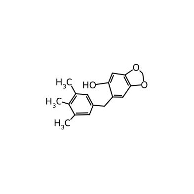 Cc1cc(Cc2cc3c(cc2O)OCO3)cc(C)c1C